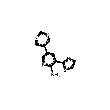 Nc1ncc(-c2cncnc2)cc1-c1nccs1